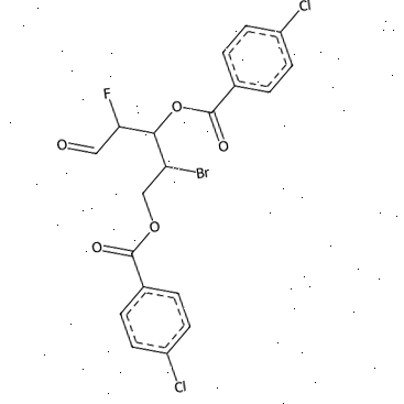 O=CC(F)C(OC(=O)c1ccc(Cl)cc1)C(Br)COC(=O)c1ccc(Cl)cc1